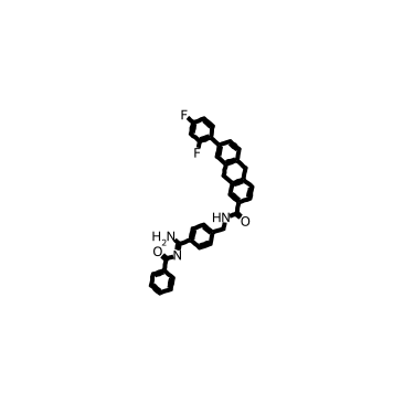 NC(=NC(=O)c1ccccc1)c1ccc(CNC(=O)c2ccc3c(c2)Cc2cc(-c4ccc(F)cc4F)ccc2C3)cc1